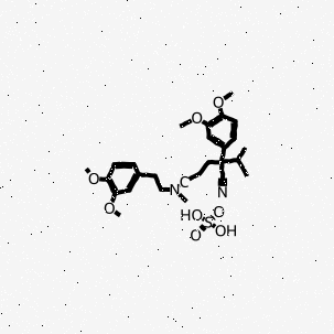 COc1ccc(CCN(C)CCCC(C#N)(c2ccc(OC)c(OC)c2)C(C)C)cc1OC.O=S(=O)(O)O